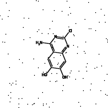 Nc1nc(Cl)nc2cc(O)c(O)cc12